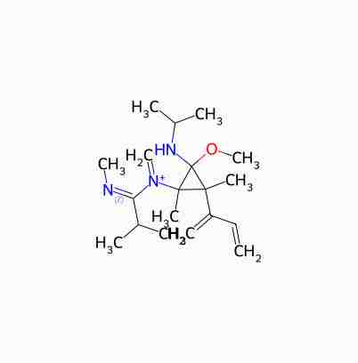 C=CC(=C)C1(C)C(NC(C)C)(OC)C1(C)[N+](=C)/C(=N\C)C(C)C